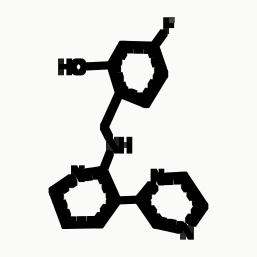 Oc1cc(F)ccc1CNc1ncccc1-c1cnccn1